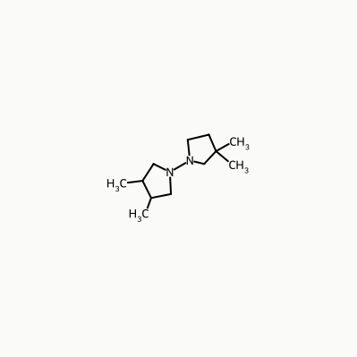 CC1CN(N2CCC(C)(C)C2)CC1C